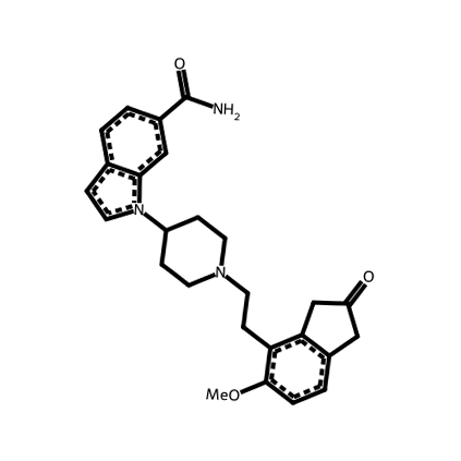 COc1ccc2c(c1CCN1CCC(n3ccc4ccc(C(N)=O)cc43)CC1)CC(=O)C2